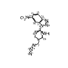 [N-]=[N+]=NCC1CN=C(n2nnc3ccc([N+](=O)[O-])cc32)NC1